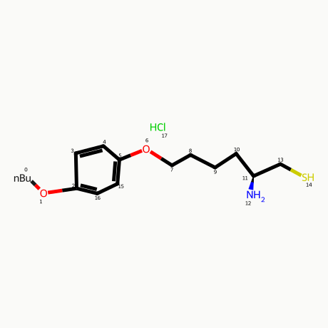 CCCCOc1ccc(OCCCC[C@H](N)CS)cc1.Cl